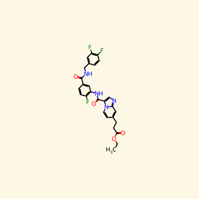 CCOC(=O)CCc1ccn2c(C(=O)Nc3cc(C(=O)NCc4ccc(F)c(F)c4)ccc3F)cnc2c1